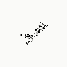 CCCCCCCC(=O)N[C@H](CC(N)=O)C(=O)NCCNC(=O)Oc1ccc2c(C)cc(=O)oc2c1